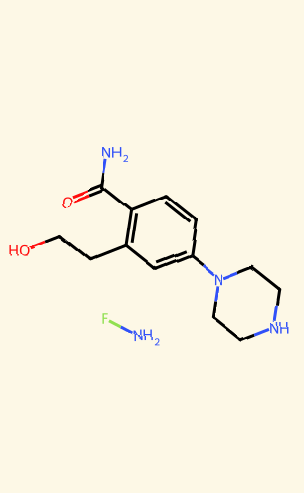 NC(=O)c1ccc(N2CCNCC2)cc1CCO.NF